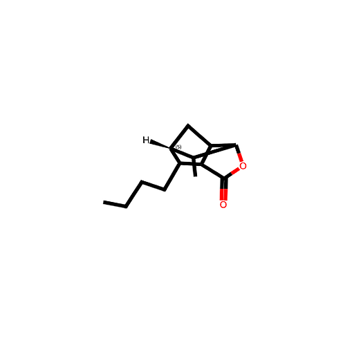 CCCCC1C2C(=O)OC3C2C[C@@H]1C3C